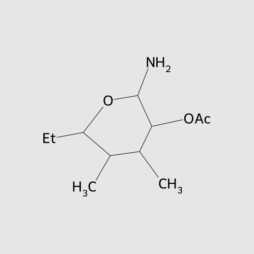 CCC1OC(N)C(OC(C)=O)C(C)C1C